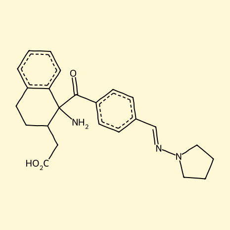 NC1(C(=O)c2ccc(C=NN3CCCC3)cc2)c2ccccc2CCC1CC(=O)O